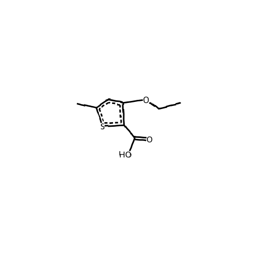 CCOc1cc(C)sc1C(=O)O